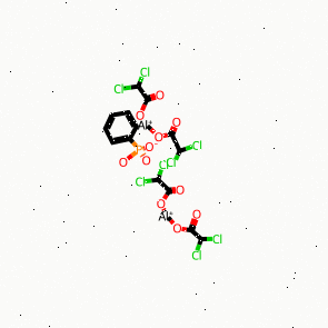 O=C([O][Al+][O]C(=O)C(Cl)Cl)C(Cl)Cl.O=C([O][Al+][O]C(=O)C(Cl)Cl)C(Cl)Cl.O=P([O-])([O-])c1ccccc1